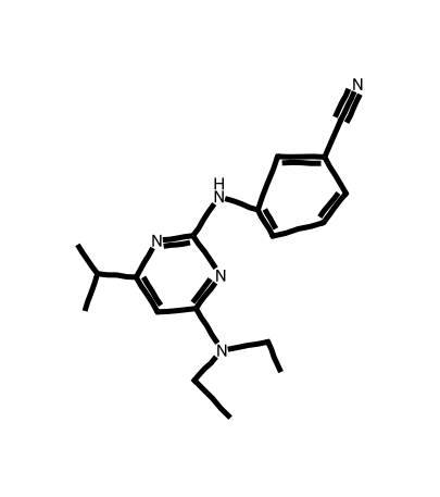 CCN(CC)c1cc(C(C)C)nc(Nc2cccc(C#N)c2)n1